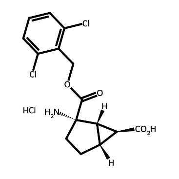 Cl.N[C@@]1(C(=O)OCc2c(Cl)cccc2Cl)CC[C@H]2[C@H](C(=O)O)[C@H]21